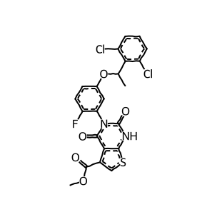 COC(=O)c1csc2[nH]c(=O)n(-c3cc(OC(C)c4c(Cl)cccc4Cl)ccc3F)c(=O)c12